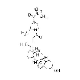 CC(CCC(=O)N1CCN(C(=O)N(C)C)C[C@@H]1C)[C@H]1CC[C@H]2[C@@H]3CC=C4C[C@@H](O)CC[C@]4(C)[C@H]3CC[C@]12C